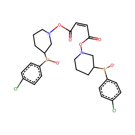 O=C(/C=C\C(=O)ON1CCCC([S+]([O-])c2ccc(Cl)cc2)C1)ON1CCCC([S+]([O-])c2ccc(Cl)cc2)C1